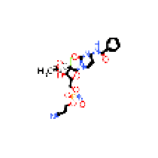 CC(=O)OC1C(COP(=O)(N=O)OCCC#N)OC(n2ccc(NC(=O)c3ccccc3)nc2=O)C1(C)F